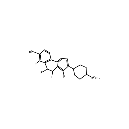 CCCCCC1CCC(c2ccc3c(c2F)C(F)C(F)c2c-3ccc(CCC)c2F)CC1